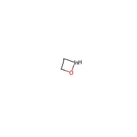 C1[CH2][InH][O]1